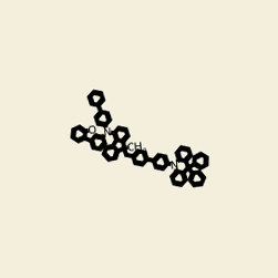 CC1(Cc2ccc(-c3ccc(N4c5ccccc5C(c5ccccc5)(c5ccccc5)c5ccccc54)cc3)cc2)c2ccccc2-c2c(N(c3ccc(-c4ccccc4)cc3)c3cccc4c3oc3ccccc34)cccc21